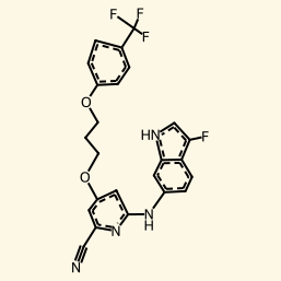 N#Cc1cc(OCCCOc2ccc(C(F)(F)F)cc2)cc(Nc2ccc3c(F)c[nH]c3c2)n1